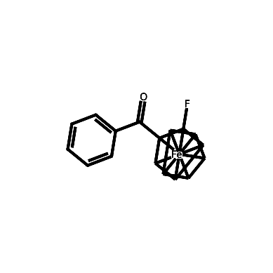 O=C(c1ccccc1)[C]12[CH]3[CH]4[CH]5[C]1(F)[Fe]45321678[CH]2[CH]1[CH]6[CH]7[CH]28